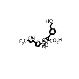 O=C(O)C1(NS(=O)(=O)c2ccc(-c3cc(C(F)(F)F)on3)s2)CC1c1cccc(CCO)c1